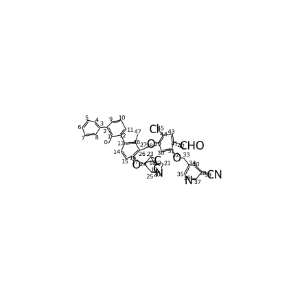 Cc1c(-c2ccccc2)cccc1-c1ccc(OC2CN3CCC2CC3)c(COc2cc(OCc3cncc(C#N)c3)c(C=O)cc2Cl)c1C